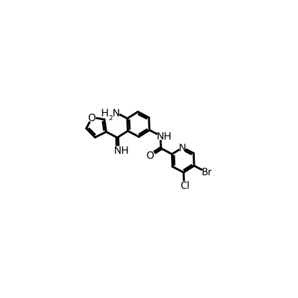 N=C(c1ccoc1)c1cc(NC(=O)c2cc(Cl)c(Br)cn2)ccc1N